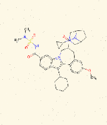 COc1ccc2c(c1)CC(C(=O)N1C3CCC1CN(C1CC1)C3)Cn1c-2c(C2CCCCC2)c2ccc(C(=O)NS(=O)(=O)N(C)C)cc21